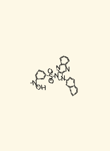 CN(O)c1cccc(S(=O)(=O)N2CN(c3ccc4ccccc4c3)c3nc4ccccc4nc32)c1